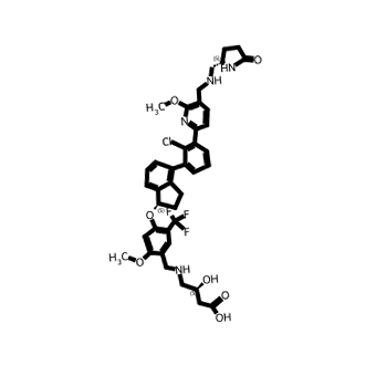 COc1cc(O[C@H]2CCc3c(-c4cccc(-c5ccc(CNC[C@@H]6CCC(=O)N6)c(OC)n5)c4Cl)cccc32)c(C(F)(F)F)cc1CNC[C@@H](O)CC(=O)O